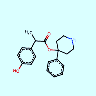 CC(C(=O)OC1(c2ccccc2)CCNCC1)c1ccc(O)cc1